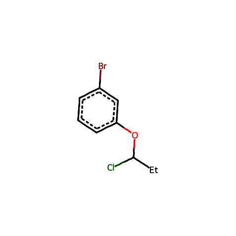 [CH2]CC(Cl)Oc1cccc(Br)c1